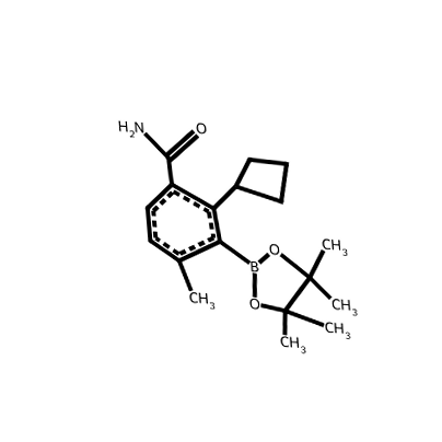 Cc1ccc(C(N)=O)c(C2CCC2)c1B1OC(C)(C)C(C)(C)O1